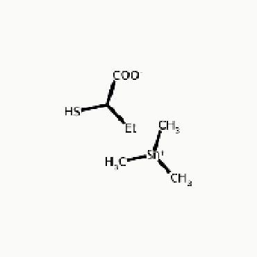 CCC(S)C(=O)[O-].[CH3][Sn+]([CH3])[CH3]